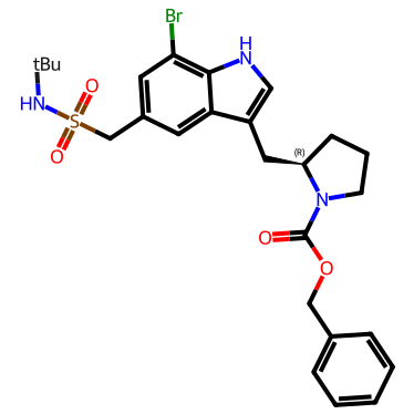 CC(C)(C)NS(=O)(=O)Cc1cc(Br)c2[nH]cc(C[C@H]3CCCN3C(=O)OCc3ccccc3)c2c1